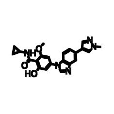 COc1cc(-n2cnc3cc(-c4cnn(C)c4)ccc32)cc(O)c1C(=O)NC1CC1